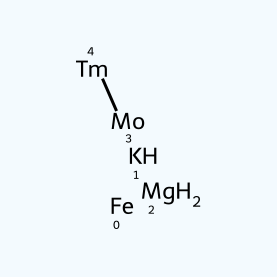 [Fe].[KH].[MgH2].[Mo][Tm]